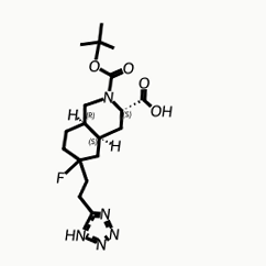 CC(C)(C)OC(=O)N1C[C@@H]2CCC(F)(CCc3nnn[nH]3)C[C@@H]2C[C@H]1C(=O)O